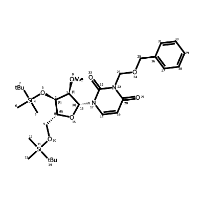 CO[C@@H]1[C@H](O[Si](C)(C)C(C)(C)C)[C@@H](CO[Si](C)(C)C(C)(C)C)O[C@H]1n1ccc(=O)n(COCc2ccccc2)c1=O